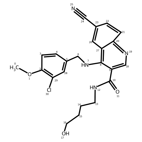 COc1ccc(CNc2c(C(=O)NCCCCO)cnc3ccc(C#N)cc23)cc1Cl